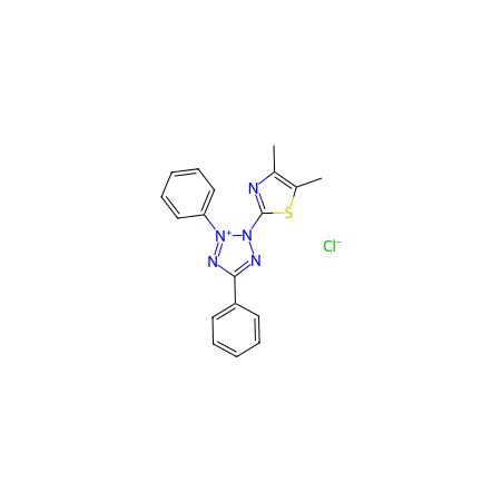 Cc1nc(-n2nc(-c3ccccc3)n[n+]2-c2ccccc2)sc1C.[Cl-]